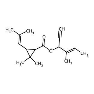 C#CC(OC(=O)C1C(C=C(C)C)C1(C)C)/C(C)=C/C